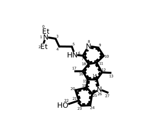 CCN(CC)CCCNc1nccc2c(C)c3c(c(C)c12)c1cc(O)ccc1n3C